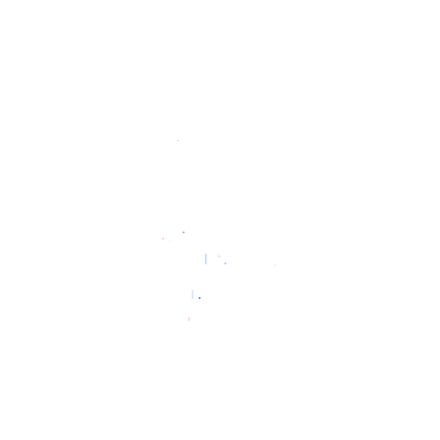 COC(=O)CCCc1ccc(NC(=O)c2ccc3c(c2)C(Nc2ccc(Cl)cc2)CC(C)N3C(C)=O)cc1